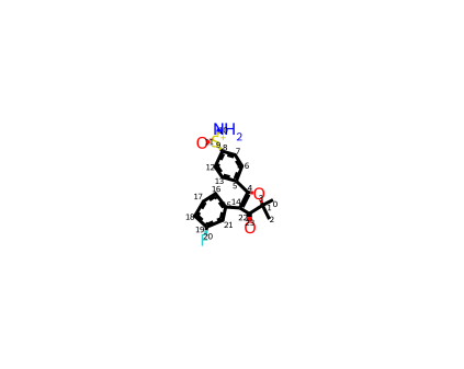 CC1(C)OC(c2ccc([S+](N)[O-])cc2)=C(c2cccc(F)c2)C1=O